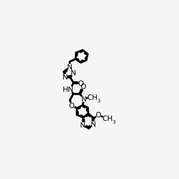 COc1ncnc2cc3c(cc12)N(C)C(=O)C(NC(=O)c1ncn(Cc2ccccc2)n1)CO3